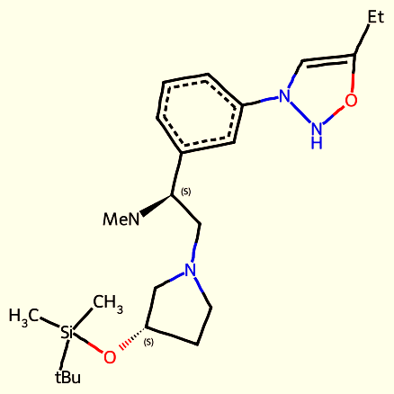 CCC1=CN(c2cccc([C@@H](CN3CC[C@H](O[Si](C)(C)C(C)(C)C)C3)NC)c2)NO1